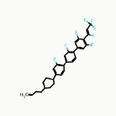 C=CCCC1CCC(c2ccc(-c3ccc(-c4cc(F)c(/C(F)=C/C(F)(F)F)c(F)c4)c(F)c3)c(F)c2)CC1